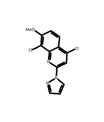 COc1ccc2c(Cl)cc(-n3cccn3)nc2c1Cl